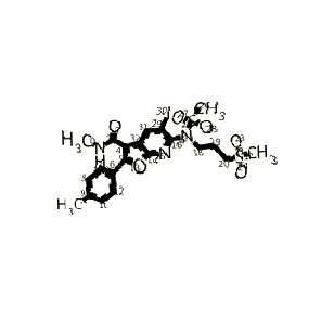 CNC(=O)c1c(-c2ccc(C)cc2)oc2nc(N(CCCS(C)(=O)=O)S(C)(=O)=O)c(I)cc12